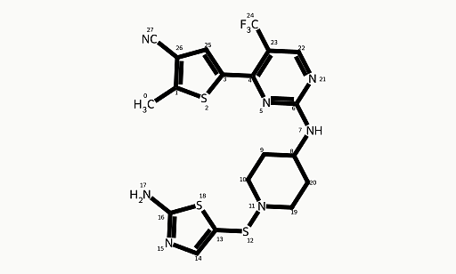 Cc1sc(-c2nc(NC3CCN(Sc4cnc(N)s4)CC3)ncc2C(F)(F)F)cc1C#N